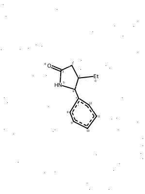 CCC1CC(=O)NC1c1ccccc1